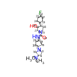 CN(C)C1CCN(c2ccc(NC(=O)N3CCC(c4ccc(F)cc4)C(O)C3)cc2)C1